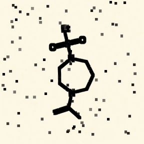 C=C(C)N1CCCN(S(=O)(=O)CC)CC1